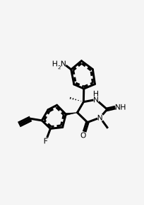 C#Cc1ccc([C@@H]2C(=O)N(C)C(=N)N[C@]2(C)c2cccc(N)c2)cc1F